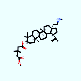 C=C(C)[C@@H]1CC[C@]2(CCNC)CC[C@]3(C)C(CCC4[C@@]5(C)CC[C@H](OC(=O)CC(C)(C)CC(=O)OC)C(C)(C)C5CC[C@]43C)C12